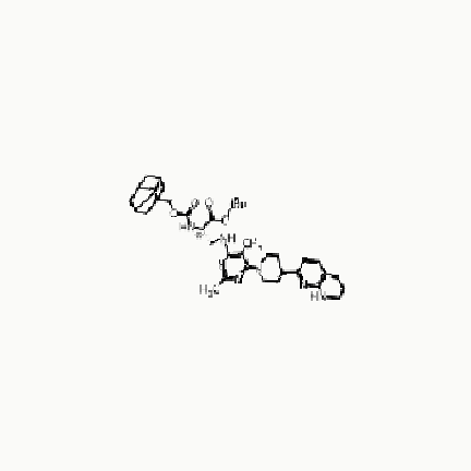 Cc1nc(NC[C@H](NC(=O)OCC23CC4CC(CC(C4)C2)C3)C(=O)OC(C)(C)C)c(C)c(N2CCC(c3ccc4c(n3)NCCC4)CC2)n1